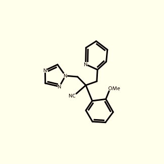 COc1ccccc1C(C#N)(Cc1ccccn1)Cn1cncn1